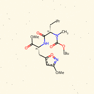 COC(=O)[C@@H](Cc1cc(OC)no1)NC(=O)[C@H](CC(C)C)N(C)C(=O)OC(C)(C)C